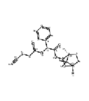 CC1(C)[C@@H]2CC[C@]1(C)C(OC(=O)C(OC(=O)CSC#N)c1ccccc1)C2